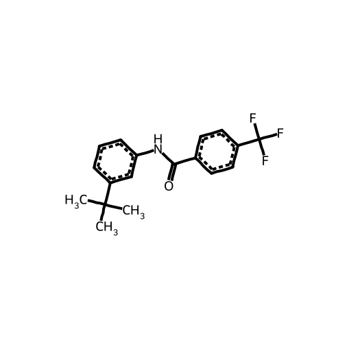 CC(C)(C)c1cccc(NC(=O)c2ccc(C(F)(F)F)cc2)c1